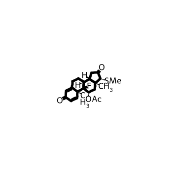 CS[C@H]1C(=O)C[C@H]2[C@@H]3CCC4=CC(=O)C=C[C@]4(C)C3(F)[C@@H](OC(C)=O)C[C@]12C